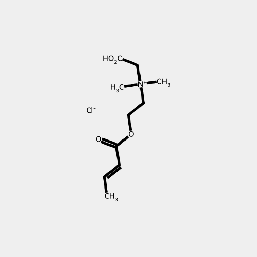 CC=CC(=O)OCC[N+](C)(C)CC(=O)O.[Cl-]